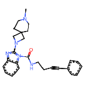 CN1CCC2(CC1)CN(c1nc3ccccc3n1C(=O)NCCC#Cc1ccccc1)C2